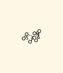 c1ccc(P2c3ccccc3C3(c4ccccc4-n4c5ccccc5c5cccc3c54)c3ccc(-c4cccc5c4sc4ccccc45)cc32)cc1